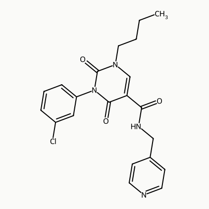 CCCCn1cc(C(=O)NCc2ccncc2)c(=O)n(-c2cccc(Cl)c2)c1=O